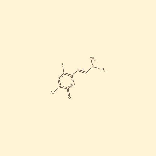 CC(=O)n1cc(F)c(/N=C/N(C)C)nc1=O